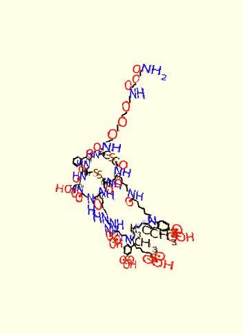 CC1(CCCCS(=O)(=O)O)C(/C=C/C=C/C=C2/N(CCCCCC(=O)NCCCC[C@@H]3NC(=O)CSC[C@@H](C(=O)NCCOCCOCCOCCNC(=O)COCC(N)=O)NC(=O)[C@H](Cc4ccccc4)NC(=O)[C@@H]4CSSC[C@H](NC3=O)C(=O)N[C@@H](CCCNC(=N)N)C(=O)NCC(=O)N[C@@H](CC(=O)O)C(=O)N4)c3ccc(S(=O)(=O)O)cc3C2(C)C)=[N+](CCCCS(=O)(=O)O)c2ccc(S(=O)(=O)O)cc21